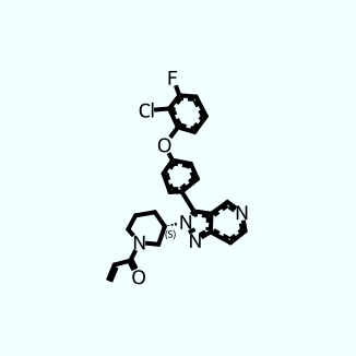 C=CC(=O)N1CCC[C@H](n2nc3ccncc3c2-c2ccc(Oc3cccc(F)c3Cl)cc2)C1